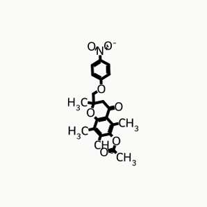 CC(=O)Oc1c(C)c(C)c2c(c1C)C(=O)CC(C)(COc1ccc([N+](=O)[O-])cc1)O2